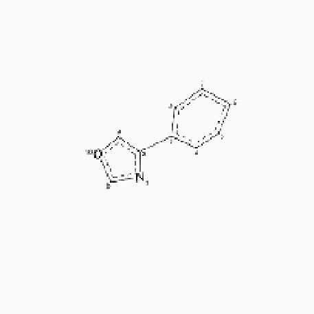 [c]1nc(-c2ccccc2)co1